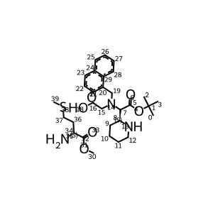 CC(C)(C)OC(=O)C([C@@H]1CCCCN1)N(CC(=O)O)Cc1cccc2ccccc12.COC(=O)[C@@H](N)CCSC